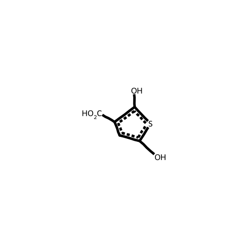 O=C(O)c1cc(O)sc1O